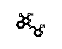 N#Cc1ncccc1CSc1nc(O)c(Cl)c2ccccc12